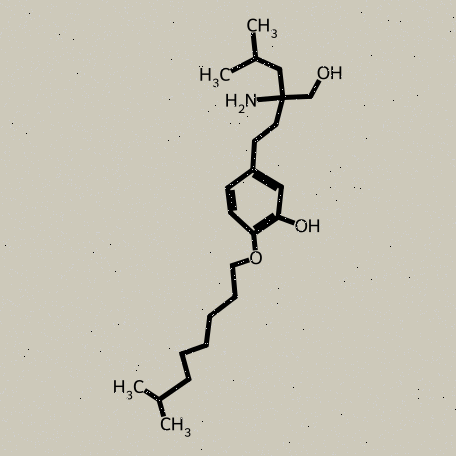 CC(C)CCCCCCOc1ccc(CCC(N)(CO)CC(C)C)cc1O